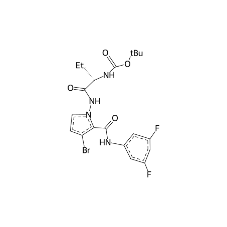 CC[C@H](NC(=O)OC(C)(C)C)C(=O)Nn1ccc(Br)c1C(=O)Nc1cc(F)cc(F)c1